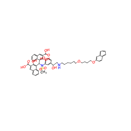 CS(=O)(=O)N(c1cc(C(O)CNCCCCCCOCCCCOc2ccc3ccccc3c2)ccc1O)C(c1c(O)c(C(=O)O)cc2ccccc12)c1c(O)c(C(=O)O)cc2ccccc12